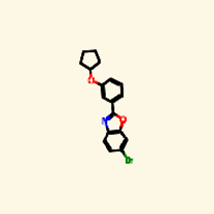 Brc1ccc2nc(-c3cccc(OC4CCCC4)c3)oc2c1